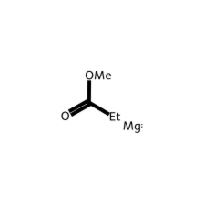 CCC(=O)OC.[Mg]